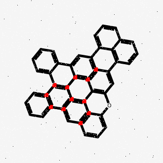 c1ccc2c(c1)Oc1cc(-c3cccc4cccc(-c5ccc6c(c5)-c5ccccc5B5c7ccccc7-c7ccccc7N56)c34)cc3c1B2c1ccccc1O3